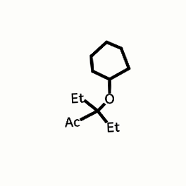 CCC(CC)(OC1CCCCC1)C(C)=O